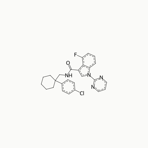 O=C(NCC1(c2ccc(Cl)cc2)CCCCC1)c1cn(-c2ncccn2)c2cccc(F)c12